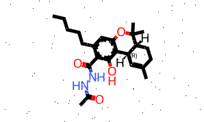 CCCCCc1cc2c(c(O)c1C(=O)NNC(C)=O)[C@@H]1C=C(C)CC[C@H]1C(C)(C)O2